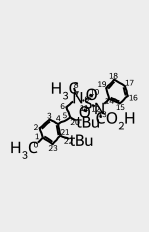 Cc1ccc(C(CN(C)S(=O)(=O)N(C(=O)O)c2ccccc2)C(C)(C)C)c(C(C)(C)C)c1